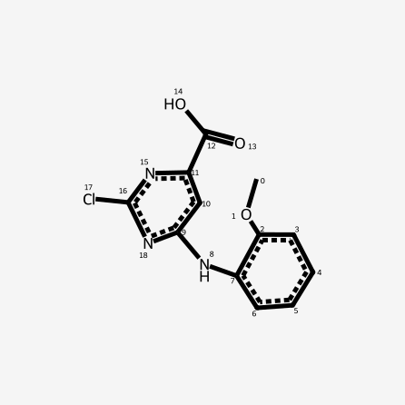 COc1ccccc1Nc1cc(C(=O)O)nc(Cl)n1